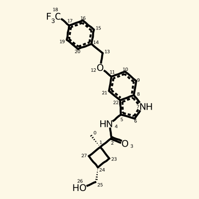 C[C@]1(C(=O)Nc2c[nH]c3ccc(OCc4ccc(C(F)(F)F)cc4)cc23)C[C@H](CO)C1